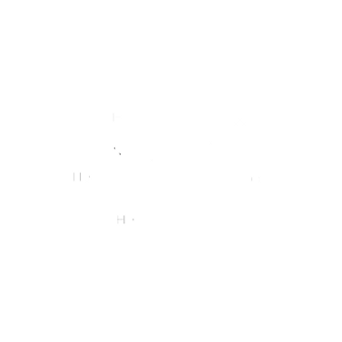 Cc1cc2c(cc1N(C)C)OCO2